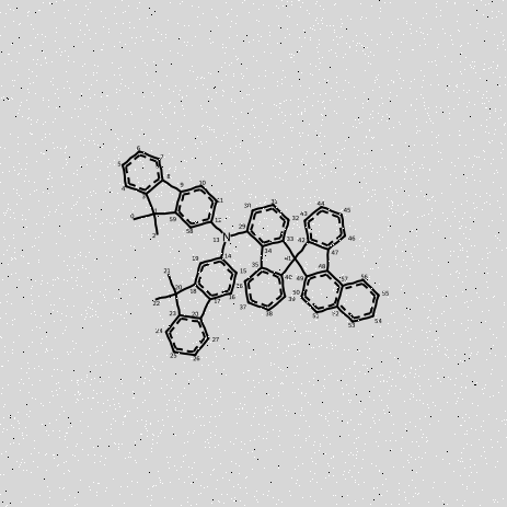 CC1(C)c2ccccc2-c2ccc(N(c3ccc4c(c3)C(C)(C)c3ccccc3-4)c3cccc4c3-c3ccccc3C43c4ccccc4-c4c3ccc3ccccc43)cc21